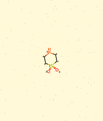 O=S1(=O)CCPCC1